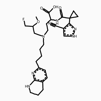 COC(CF)CN(CCCCc1ccc2c(n1)NCCC2)CCC(NC(=O)C1(c2n[nH]cc2C#N)CC1)C(=O)O